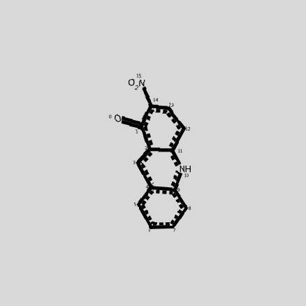 O=c1c2cc3ccccc3[nH]c-2ccc1[N+](=O)[O-]